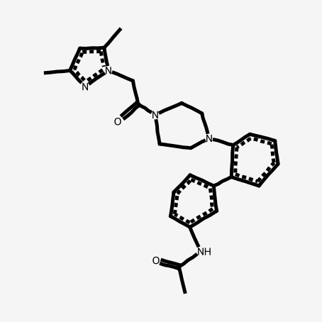 CC(=O)Nc1cccc(-c2ccccc2N2CCN(C(=O)Cn3nc(C)cc3C)CC2)c1